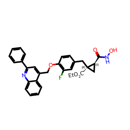 CCOC(=O)[C@@]1(Cc2ccc(OCc3cc(-c4ccccc4)nc4ccccc34)c(F)c2)C[C@@H]1C(=O)NO